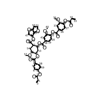 C=CC(=O)Oc1ccc(C(=O)OC2C[C@@H](OC(=O)c3ccc(OC(=O)c4ccc(OC(=O)C=C)c(OC)c4)c(OC)c3)C(C(=O)Oc3coc4ccoc34)C[C@H]2OC)cc1